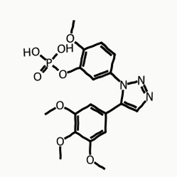 COc1ccc(-n2nncc2-c2cc(OC)c(OC)c(OC)c2)cc1OP(=O)(O)O